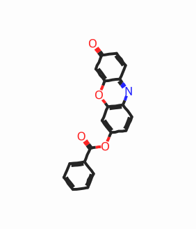 O=C(Oc1ccc2nc3ccc(=O)cc-3oc2c1)c1ccccc1